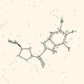 CN[C@@H]1CCN(C(=O)c2cc3cc(Br)c(F)c(F)c3[nH]2)C1